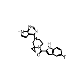 O=C(c1cc2cc(F)ccc2[nH]1)N1CCN(c2ncnc3[nH]ccc23)CC12CC2